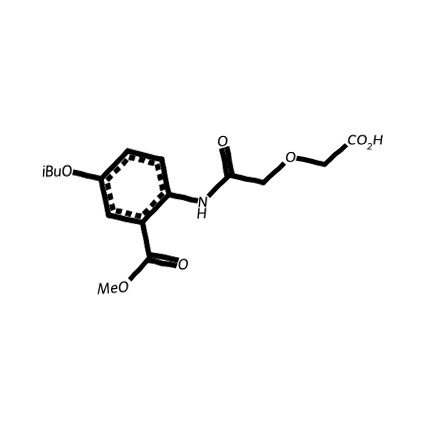 COC(=O)c1cc(OCC(C)C)ccc1NC(=O)COCC(=O)O